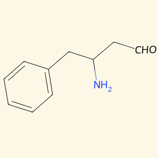 NC(CC=O)Cc1ccccc1